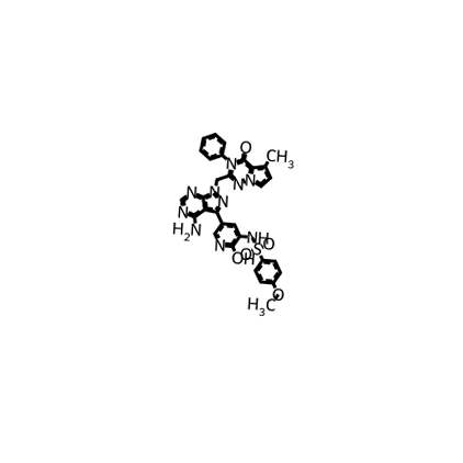 COc1ccc(S(=O)(=O)Nc2cc(-c3nn(Cc4nn5ccc(C)c5c(=O)n4-c4ccccc4)c4ncnc(N)c34)cnc2O)cc1